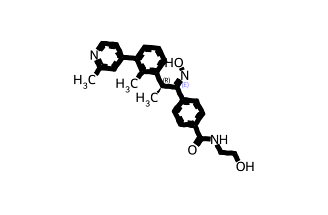 Cc1cc(-c2cccc([C@@H](C)/C(=N\O)c3ccc(C(=O)NCCO)cc3)c2C)ccn1